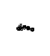 O=C(N[C@H]1CN2CCC1CC2)c1ccc(-c2ccc(N3CCCCC3)cc2)o1